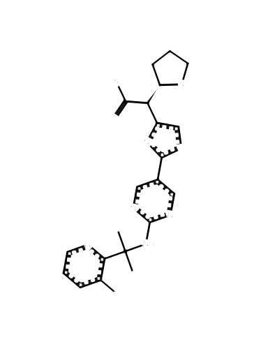 CC(C)(Nc1ncc(-c2nc(C(C(N)=O)[C@H]3CCCN3)cs2)cn1)c1ncccc1F